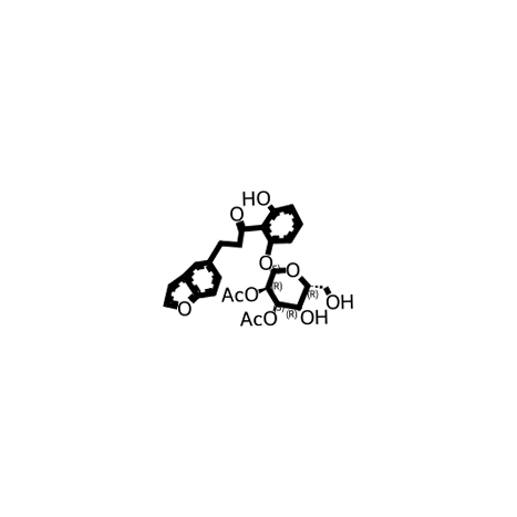 CC(=O)O[C@H]1[C@H](Oc2cccc(O)c2C(=O)CCc2ccc3occc3c2)O[C@H](CO)[C@@H](O)[C@@H]1OC(C)=O